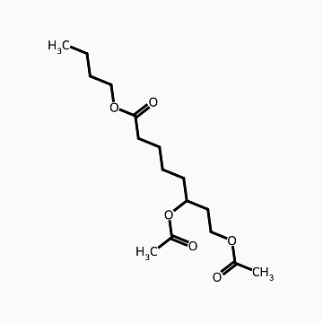 CCCCOC(=O)CCCCC(CCOC(C)=O)OC(C)=O